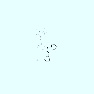 COc1cc(-c2oc3cc(O)cc(O)c3c(=O)c2O[C@@H]2OC(CO[C@@H]3OC(C)[C@H](O)[C@H](O)C3O)[C@@H](O)C(O)C2O)ccc1O